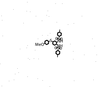 COc1ccc(Sc2ccc(NS(=O)(=O)c3ccc(C)cc3)c(NS(=O)(=O)c3ccc(C)cc3)c2)cc1